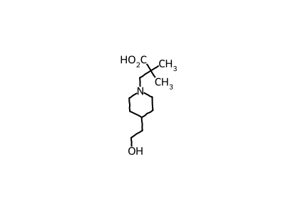 CC(C)(CN1CCC(CCO)CC1)C(=O)O